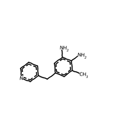 Cc1cc(Cc2cccnc2)cc(N)c1N